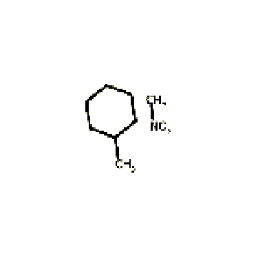 CC1CCCCC1.C[N+](=O)[O-]